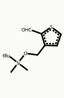 CC(C)(C)[Si](C)(C)OCc1ccsc1C=O